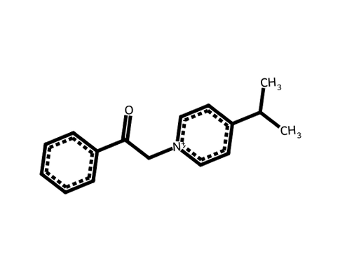 CC(C)c1cc[n+](CC(=O)c2ccccc2)cc1